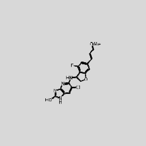 COC/C=C/c1cc(F)c2c(c1)OCC2Nc1nc2nc(O)[nH]c2cc1Cl